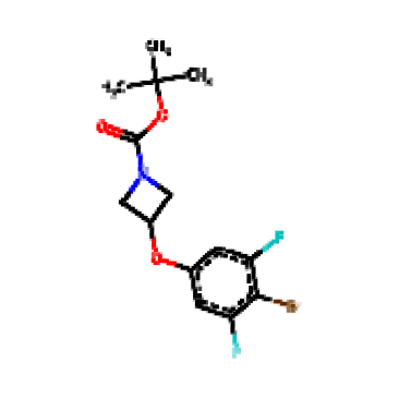 CC(C)(C)OC(=O)N1CC(Oc2cc(F)c(Br)c(F)c2)C1